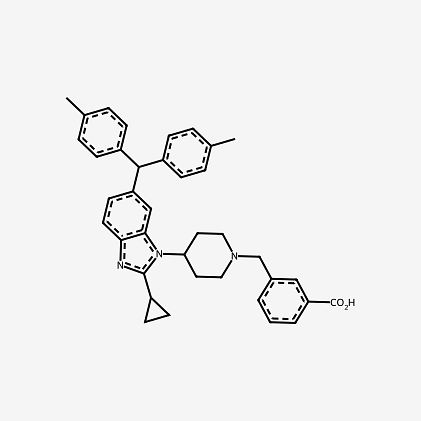 Cc1ccc(C(c2ccc(C)cc2)c2ccc3nc(C4CC4)n(C4CCN(Cc5cccc(C(=O)O)c5)CC4)c3c2)cc1